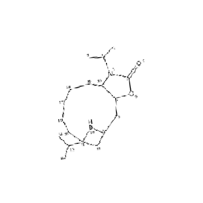 CC(C)N1C(=O)OC2CC3BC(C(C)C)(CCCCCC21)C3